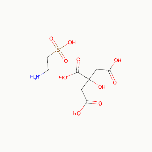 NCCS(=O)(=O)O.O=C(O)CC(O)(CC(=O)O)C(=O)O